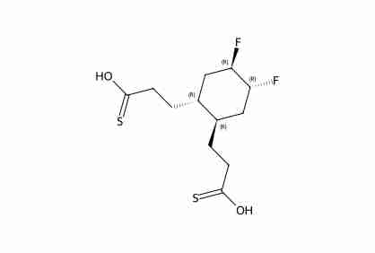 OC(=S)CC[C@@H]1C[C@@H](F)[C@H](F)C[C@H]1CCC(O)=S